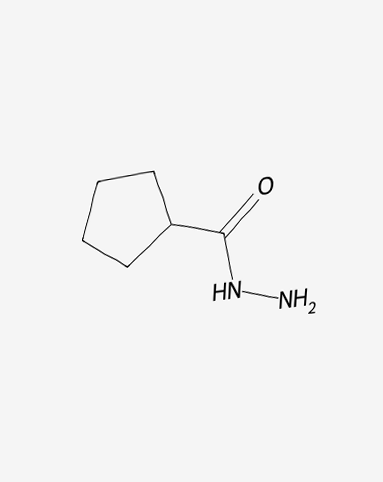 NNC(=O)C1CCCC1